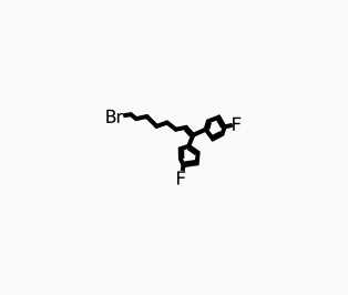 Fc1ccc(C(=CCCCCCCBr)c2ccc(F)cc2)cc1